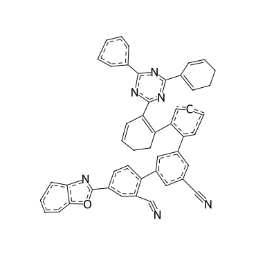 N#Cc1cc(-c2ccc(-c3nc4ccccc4o3)cc2C#N)cc(-c2ccccc2C2=C(c3nc(C4=CCCC=C4)nc(-c4ccccc4)n3)C=CCC2)c1